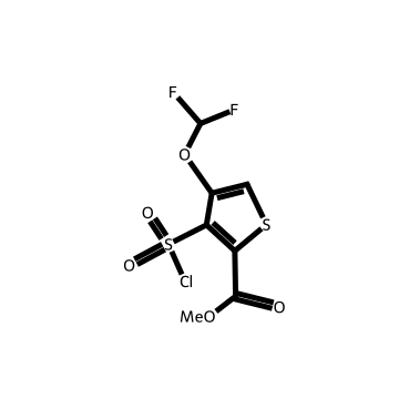 COC(=O)c1scc(OC(F)F)c1S(=O)(=O)Cl